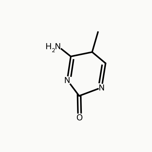 CC1C=NC(=O)N=C1N